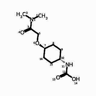 CN(C)C(=O)CO[C@H]1CC[C@H](NC(=O)O)CC1